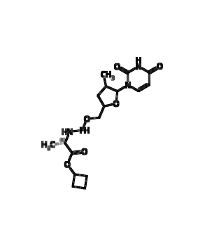 CC1CC(COPN[C@@H](C)C(=O)OC2CCC2)OC1n1ccc(=O)[nH]c1=O